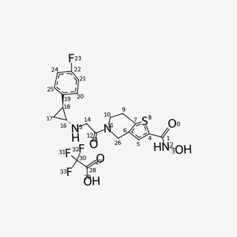 O=C(NO)c1cc2c(s1)CCN(C(=O)CN[C@@H]1C[C@H]1c1ccc(F)cc1)C2.O=C(O)C(F)(F)F